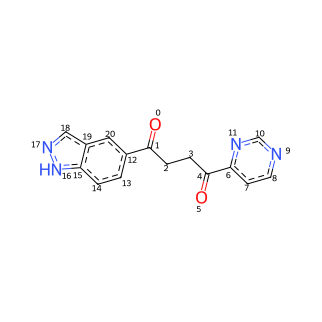 O=C(CCC(=O)c1ccncn1)c1ccc2[nH]ncc2c1